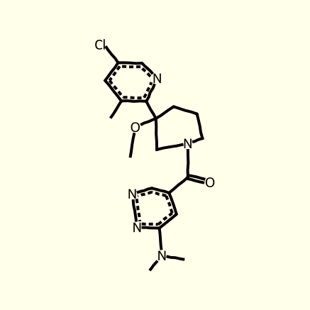 COC1(c2ncc(Cl)cc2C)CCCN(C(=O)c2cnnc(N(C)C)c2)C1